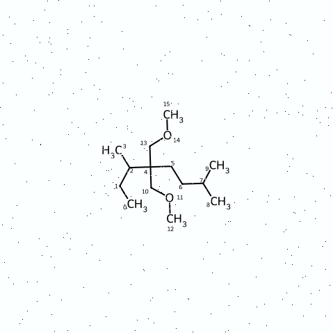 CCC(C)C(CCC(C)C)(COC)COC